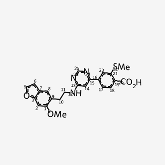 COc1cc2occc2cc1CCNc1cc(-c2ccc(C(=O)O)c(SC)c2)ncn1